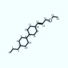 CCCC1CCC(C2CCC(C=CCOCC)CC2)CC1